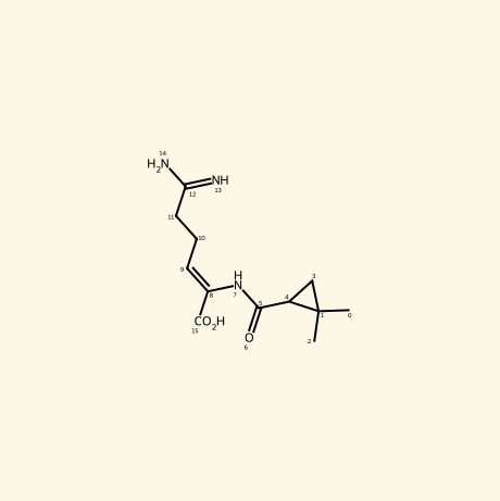 CC1(C)CC1C(=O)N/C(=C\CCC(=N)N)C(=O)O